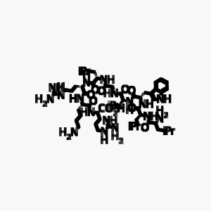 CC[C@H](C)[C@H](NC(=O)[C@H](Cc1c[nH]c2ccccc12)NC(=O)[C@H](CC(C)C)NC(=O)[C@@H](N)CC(C)C)C(=O)NCC(=O)N[C@@H](CC(C)C)C(=O)N[C@@H](CCCNC(=N)N)C(=O)N[C@@H](CCCCN)C(=O)N[C@@H](CCCNC(=N)N)C(=O)O